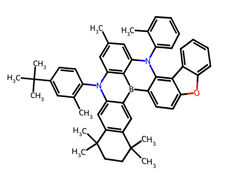 Cc1cc2c3c(c1)N(c1ccccc1C)c1c(ccc4oc5ccccc5c14)B3c1cc3c(cc1N2c1ccc(C(C)(C)C)cc1C)C(C)(C)CCC3(C)C